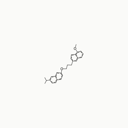 COc1cccc2cc(CCCOc3ccc4ccc(C(C)C)cc4c3)ccc12